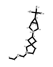 CCOCN1CCC2(CC(N3CC4C(C3)C4C(F)(F)F)C2)C1